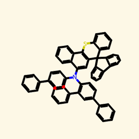 c1ccc(-c2ccc(N(c3ccc(-c4ccccc4)cc3-c3ccccc3)c3cc4c(c5ccccc35)Sc3ccccc3C43c4ccccc4-c4ccccc43)cc2)cc1